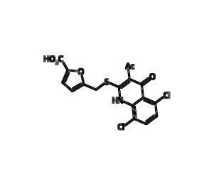 CC(=O)c1c(SCc2ccc(C(=O)O)o2)[nH]c2c(Cl)ccc(Cl)c2c1=O